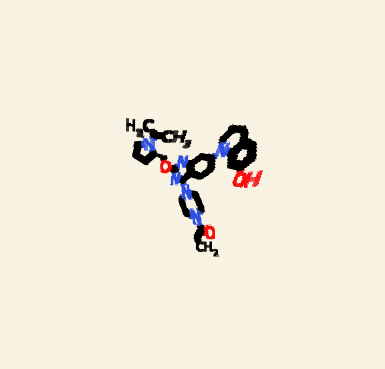 C=CC(=O)N1CCN(c2nc(OC[C@@H]3CCCN3C(C)C)nc3c2CCC(N2CCCc4ccc(O)cc42)C3)CC1